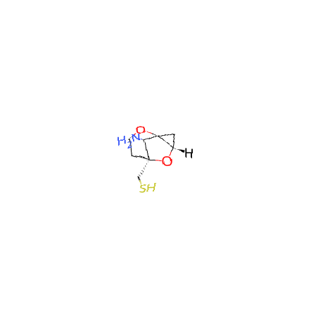 NC1C23C[C@@H]2O[C@@]1(CS)CCO3